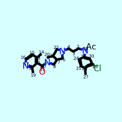 CC(=O)N(CCCN1CC2CN(C(=O)c3c(C)ccnc3C)CC2C1)c1ccc(C)c(Cl)c1